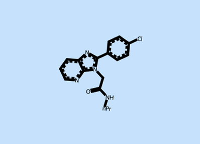 CCCNC(=O)Cn1c(-c2ccc(Cl)cc2)nc2cccnc21